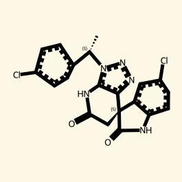 C[C@@H](c1ccc(Cl)cc1)n1nnc2c1NC(=O)C[C@@]21C(=O)Nc2ccc(Cl)cc21